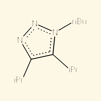 CCCCn1nnc(C(C)C)c1C(C)C